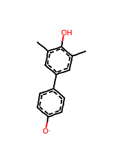 Cc1cc(-c2ccc([O])cc2)cc(C)c1O